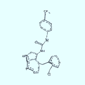 O=C(Nc1ccc(C(F)(F)F)cc1)Nc1c[nH]c2nccc(-c3ccccc3Cl)c12